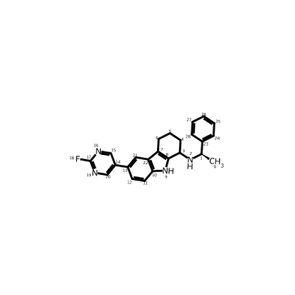 C[C@@H](NC1CCCc2c1[nH]c1ccc(-c3cnc(F)nc3)cc21)c1ccccc1